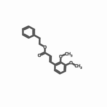 COc1cccc(/C=C/C(=O)OCCc2ccccc2)c1OC